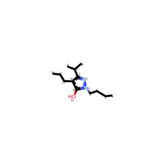 CCCCn1nc(C(C)C)c(CCC)c1O